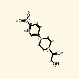 O=C(CO)N1CCN(c2ccc([N+](=O)[O-])nc2)CC1